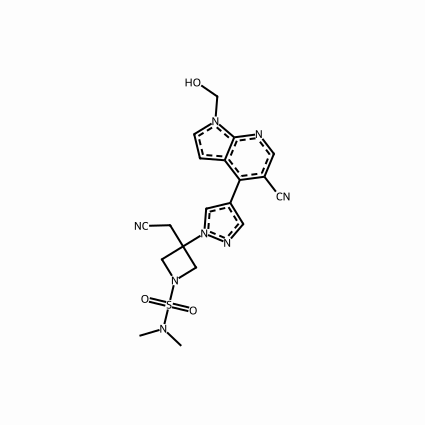 CN(C)S(=O)(=O)N1CC(CC#N)(n2cc(-c3c(C#N)cnc4c3ccn4CO)cn2)C1